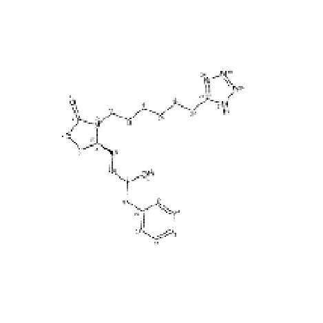 O=C1SC[C@H](C=CC(O)Cc2ccccc2)N1CCCCCCc1nnn[nH]1